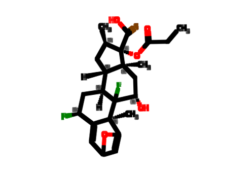 CCC(=O)O[C@@]1(C(O)=S)[C@H](C)C[C@H]2[C@@H]3C[C@H](F)C4=CC5C=C(O5)[C@]4(C)C3(F)[C@@H](O)C[C@@]21C